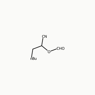 CCCCCC(C#N)OC=O